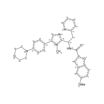 COc1ccc2oc(C(=O)NC(Cc3ccccn3)c3ncc(-c4ccc(N5CCOCC5)cc4)n3C)cc2c1